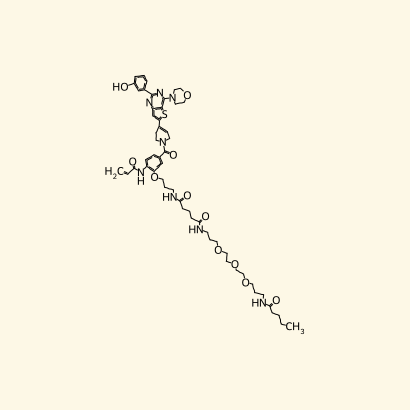 C=CC(=O)Nc1ccc(C(=O)N2CC=C(c3cc4nc(-c5cccc(O)c5)nc(N5CCOCC5)c4s3)CC2)cc1OCCCNC(=O)CCCC(=O)NCCCOCCOCCOCCCNC(=O)CCCC